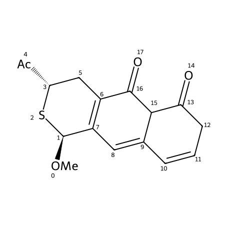 CO[C@H]1S[C@H](C(C)=O)CC2=C1C=C1C=CCC(=O)C1C2=O